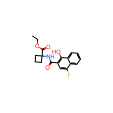 CCOC(=O)C1(NC(=O)c2cc(F)c3ccccc3c2O)CCC1